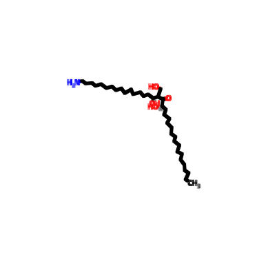 CCCCCCCCCCCCCCCCC[C@H](O)C(=O)C(CO)[C@H](O)CCCCCCCCCCCCCCCN